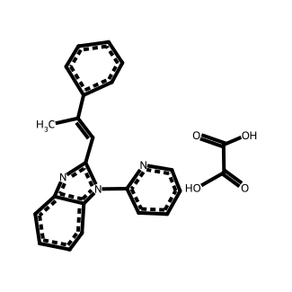 CC(=Cc1nc2ccccc2n1-c1ccccn1)c1ccccc1.O=C(O)C(=O)O